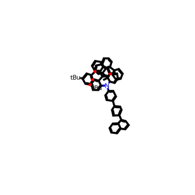 CC(C)(C)c1cc(-c2cccc3cccc(-c4ccccc4N(c4ccc(-c5ccc(-c6cccc7ccccc67)cc5)cc4)C4C=CC=CC4(C)c4cccc5cccc(-c6ccccc6)c45)c23)cc(C(C)(C)C)c1